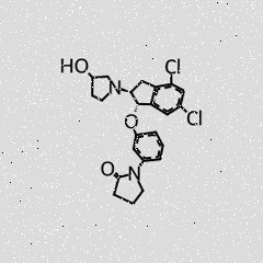 O=C1CCCN1c1cccc(O[C@H]2c3cc(Cl)cc(Cl)c3C[C@@H]2N2CCC(O)C2)c1